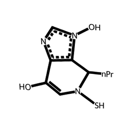 CCCC1c2c(ncn2O)C(O)=CN1S